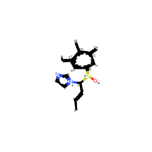 CC=CC(n1ccnc1)[S+]([O-])c1cc(C)c(C)c(C)c1